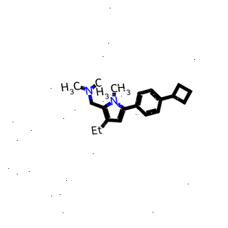 CCc1cc(-c2ccc(C3CCC3)cc2)n(C)c1CN(C)C